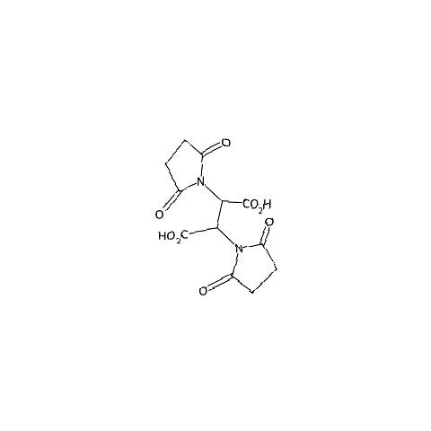 O=C(O)C(C(C(=O)O)N1C(=O)CCC1=O)N1C(=O)CCC1=O